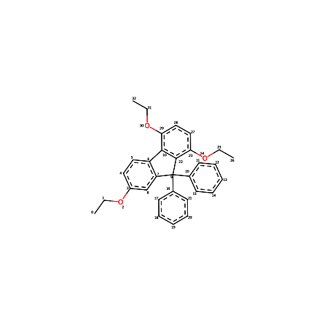 CCOc1ccc2c(c1)C(c1ccccc1)(c1ccccc1)c1c(OCC)ccc(OCC)c1-2